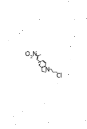 C/C(=C\c1ccc2c(c1)CCN2CCCCl)[N+](=O)[O-]